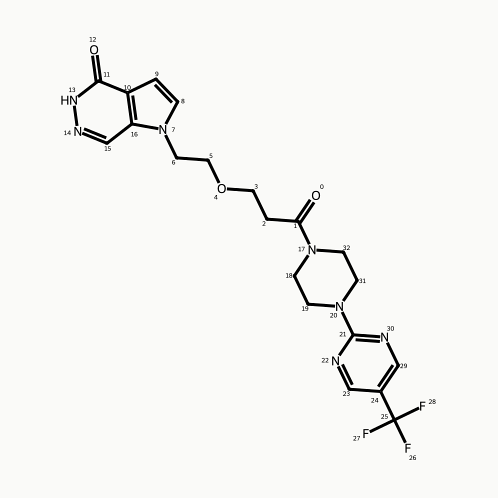 O=C(CCOCCn1ccc2c(=O)[nH]ncc21)N1CCN(c2ncc(C(F)(F)F)cn2)CC1